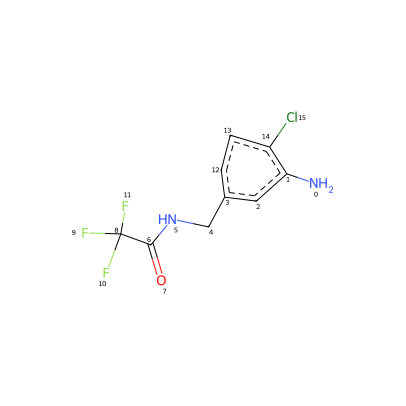 Nc1cc(CNC(=O)C(F)(F)F)ccc1Cl